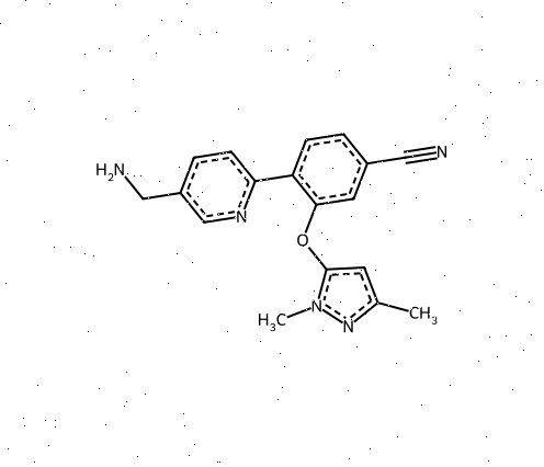 Cc1cc(Oc2cc(C#N)ccc2-c2ccc(CN)cn2)n(C)n1